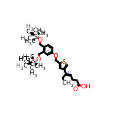 CC/C(=C\CCC(=O)O)c1csc(COc2ccc(CO[Si](C)(C)C(C)(C)C)c(CO[Si](C)(C)C(C)(C)C)c2)c1